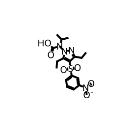 CCc1nn(N(C(=O)O)C(C)C)c(CC)c1S(=O)(=O)c1cccc([N+](=O)[O-])c1